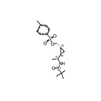 Cc1ccc(S(=O)(=O)OC[C@@H]2C[C@H]2[C@H](C)N[S@+]([O-])C(C)(C)C)cc1